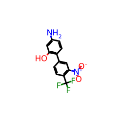 Nc1ccc(-c2ccc(C(F)(F)F)c([N+](=O)[O-])c2)c(O)c1